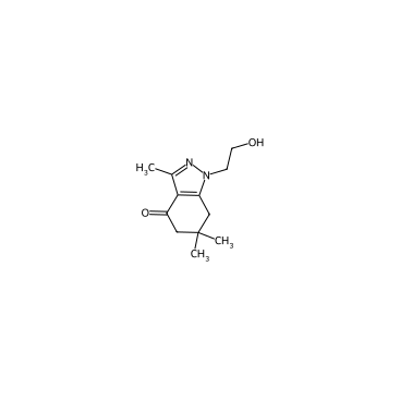 Cc1nn(CCO)c2c1C(=O)CC(C)(C)C2